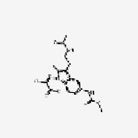 COC(=O)Nc1ccc2[nH]c(C)c(CCNC(C)=O)c2c1.O=C(Cl)C(=O)Cl